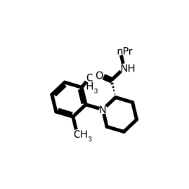 CCCNC(=O)[C@@H]1CCCCN1c1c(C)cccc1C